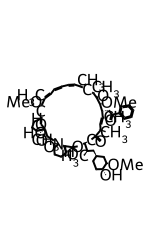 CO[C@H]1C[C@@H]2CC[C@@H](C)[C@@](O)(O2)C(=O)C(=O)N2CCCC[C@H]2C(=O)O[C@H]([C@H](C)C[C@@H]2CC[C@@H](O)[C@H](OC)C2)CC(=O)[C@H](C)/C=C(\C)[C@@H](CC(=O)c2ccccc2)[C@@H](OC)C(=O)[C@H](C)C[C@H](C)/C=C/C=C/C=C/1C